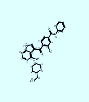 O=C(Nc1ccccn1)c1ccc(C(=O)c2c[nH]c3ncnc(N[C@H]4CC[C@H](CO)OC4)c23)c(Cl)c1